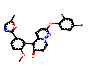 COc1ccc(-c2ncc(C)o2)cc1-c1c(=O)ccn2nc(Oc3ccc(F)cc3F)ccc12